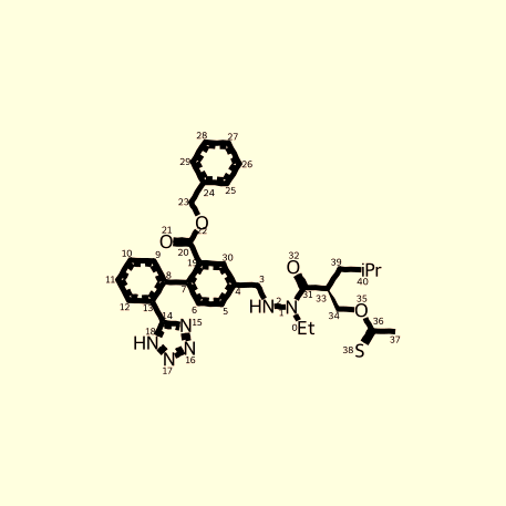 CCN(NCc1ccc(-c2ccccc2-c2nnn[nH]2)c(C(=O)OCc2ccccc2)c1)C(=O)[C@H](COC(C)=S)CC(C)C